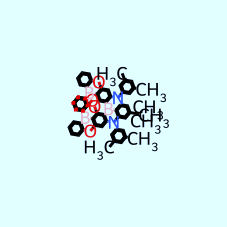 Cc1cc(C)cc(N2c3cc(C(C)(C)C)cc4c3B(c3c2cc2c5c3Oc3ccccc3B5c3ccccc3O2)c2c(cc3c5c2Oc2ccccc2B5c2ccccc2O3)N4c2cc(C)cc(C)c2)c1